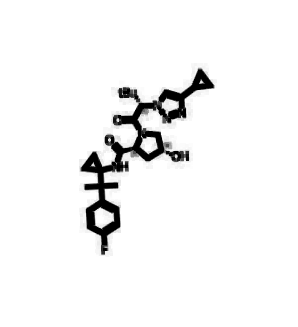 CC(C)(C)[C@@H](C(=O)N1C[C@H](O)C[C@H]1C(=O)NC1(C(C)(C)c2ccc(F)cc2)CC1)n1cc(C2CC2)nn1